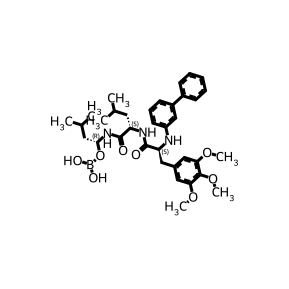 COc1cc(C[C@H](Nc2cccc(-c3ccccc3)c2)C(=O)N[C@@H](CC(C)C)C(=O)N[C@@H](CC(C)C)OB(O)O)cc(OC)c1OC